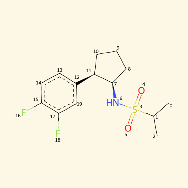 CC(C)S(=O)(=O)N[C@@H]1CCC[C@@H]1c1ccc(F)c(F)c1